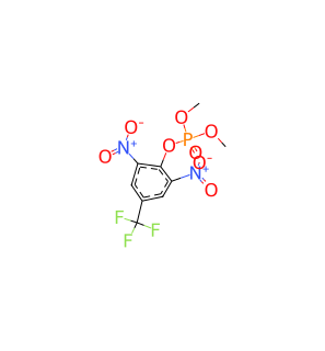 COP(=O)(OC)Oc1c([N+](=O)[O-])cc(C(F)(F)F)cc1[N+](=O)[O-]